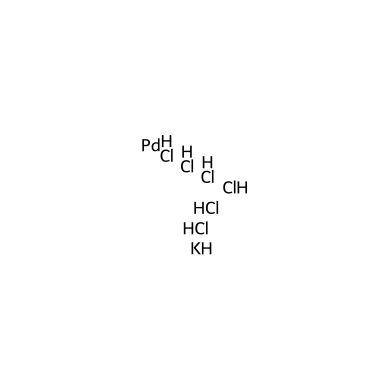 Cl.Cl.Cl.Cl.Cl.Cl.[KH].[Pd]